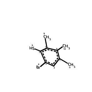 Cc1cc(Br)c(S)c(C)c1C